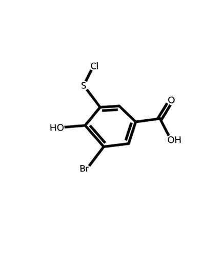 O=C(O)c1cc(Br)c(O)c(SCl)c1